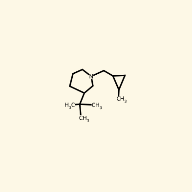 CC1CC1CN1CCCC(C(C)(C)C)C1